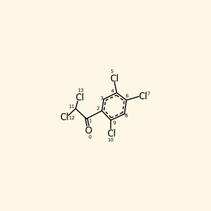 O=C(c1cc(Cl)c(Cl)cc1Cl)C(Cl)Cl